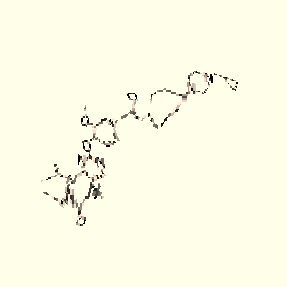 CC[C@@H]1C(=O)N(C)c2cnc(Oc3ccc(C(=O)C[C@H]4CC[C@H](N5CCN(CC6CC6)CC5)CC4)cc3OC)nc2N1C(C)C